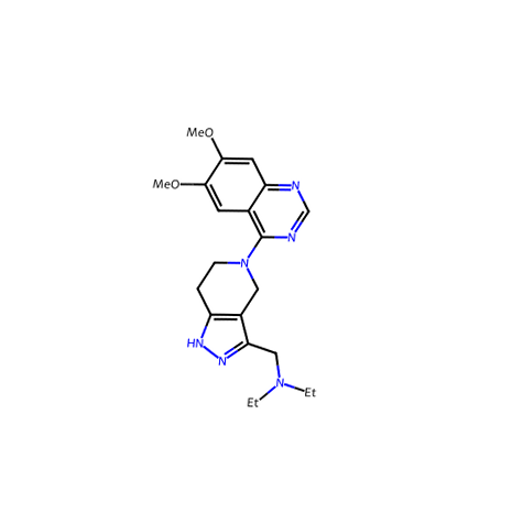 CCN(CC)Cc1n[nH]c2c1CN(c1ncnc3cc(OC)c(OC)cc13)CC2